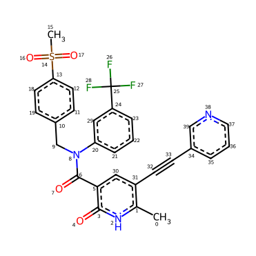 Cc1[nH]c(=O)c(C(=O)N(Cc2ccc(S(C)(=O)=O)cc2)c2cccc(C(F)(F)F)c2)cc1C#Cc1cccnc1